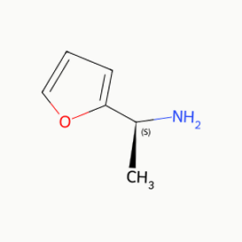 C[C@H](N)c1ccco1